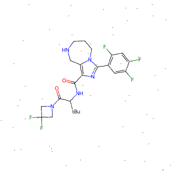 CC(C)(C)C(NC(=O)c1nc(-c2cc(F)c(F)cc2F)n2c1CNCCC2)C(=O)N1CC(F)(F)C1